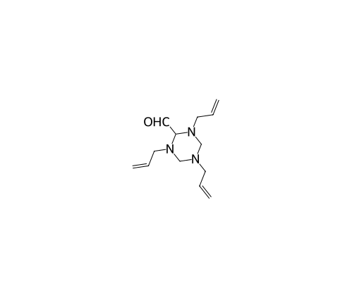 C=CCN1CN(CC=C)C(C=O)N(CC=C)C1